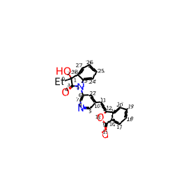 CCC1(O)C(=O)N(c2cncc(C=C3OC(=O)c4ccccc43)c2)c2ccccc21